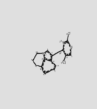 Clc1ncc(Cl)c(-c2cn3c4c(cccc24)CCC3)n1